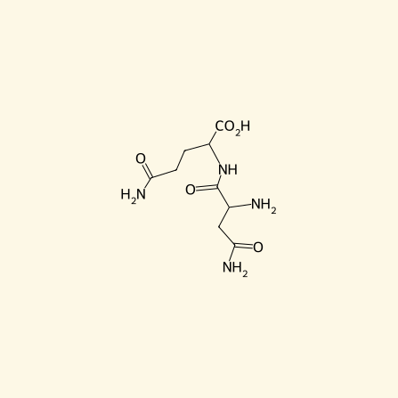 NC(=O)CCC(NC(=O)C(N)CC(N)=O)C(=O)O